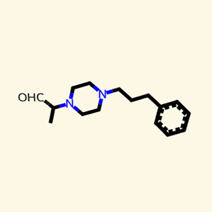 CC(C=O)N1CCN(CCCc2ccccc2)CC1